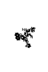 Cc1cn(/C=C/C(O)N2CCN(c3nc(OC[C@@H]4CCCN4C)nc4c3CCN(c3cccc5cccc(Cl)c35)C4)C[C@@H]2CC#N)nn1